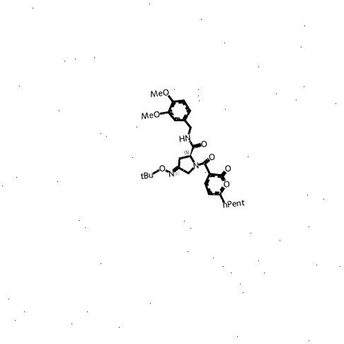 CCCCCc1ccc(C(=O)N2C/C(=N/OC(C)(C)C)C[C@H]2C(=O)NCc2ccc(OC)c(OC)c2)c(=O)o1